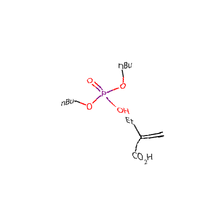 C=C(CC)C(=O)O.CCCCOP(=O)(O)OCCCC